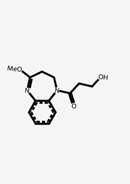 COC1=Nc2ccccc2N(C(=O)CCO)CC1